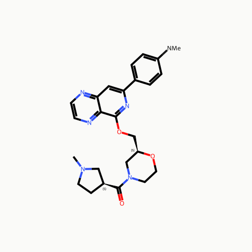 CNc1ccc(-c2cc3nccnc3c(OC[C@@H]3CN(C(=O)[C@H]4CCN(C)C4)CCO3)n2)cc1